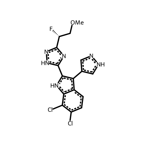 COC[C@@H](F)c1n[nH]c(-c2[nH]c3c(Cl)c(Cl)ccc3c2-c2cn[nH]c2)n1